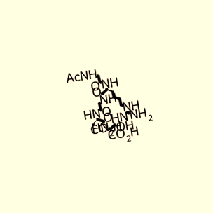 CC(=O)NCC(=O)N[C@@H](CCCCNC(=N)N)C(=O)NCC(=O)N[C@@H](CC(=O)O)C(=O)N[C@@H](CO)C(=O)O